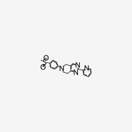 CS(=O)(=O)c1ccc(N2CCc3nc(-c4ccccn4)ncc3C2)cc1